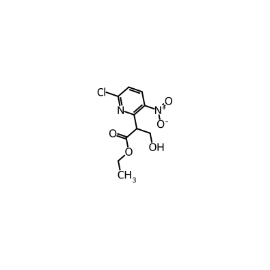 CCOC(=O)C(CO)c1nc(Cl)ccc1[N+](=O)[O-]